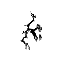 CCCN[C@@H](CCO)C(=O)O.[K]